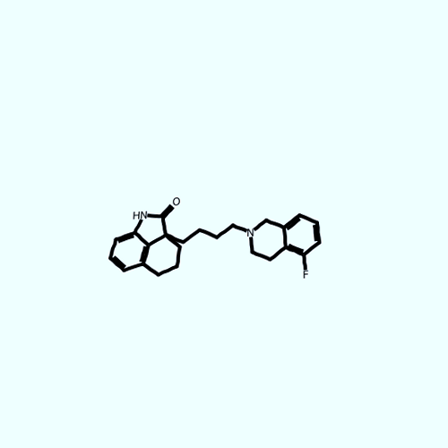 O=C1Nc2cccc3c2C1(CCCCN1CCc2c(F)cccc2C1)CCC3